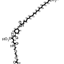 CCC(=O)COCCOCCNC(=O)CC[C@H](NC(=O)[C@H]1CC[C@H](CNC(=O)CCCCCCCCCCCCCCCCCCC(=O)O)CC1)C(=O)O